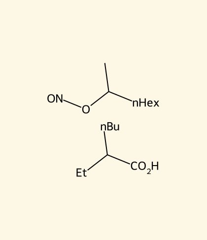 CCCCC(CC)C(=O)O.CCCCCCC(C)ON=O